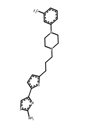 Nc1nc(-c2ccc(CCCN3CCN(c4cccc(C(F)(F)F)c4)CC3)s2)cs1